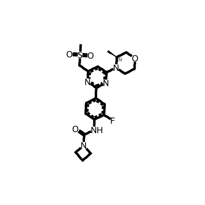 C[C@H]1COCCN1c1cc(CS(C)(=O)=O)nc(-c2ccc(NC(=O)N3CCC3)c(F)c2)n1